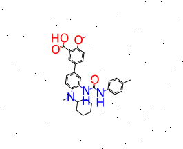 COc1ccc(-c2ccc(N(C)C3CCCCC3)c(NC(=O)Nc3ccc(C)cc3)c2)cc1C(=O)O